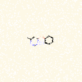 CC1=CC(Oc2ccccc2)NC=N1